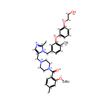 CCCCOc1cc(C)ccc1C(=O)N1CCN(Cc2cnc(C)n2Cc2ccc(C#N)c(Oc3cccc(OCCO)c3)c2)CC1